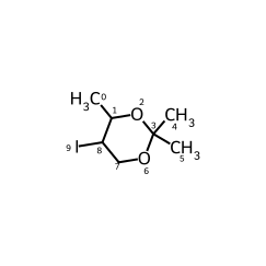 CC1OC(C)(C)OCC1I